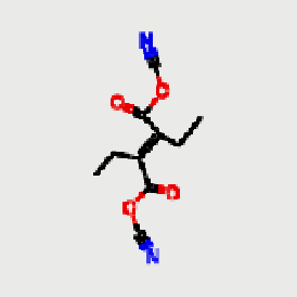 CC/C(C(=O)OC#N)=C(/CC)C(=O)OC#N